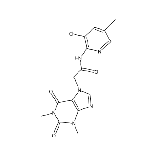 Cc1cnc(NC(=O)Cn2cnc3c2c(=O)n(C)c(=O)n3C)c(Cl)c1